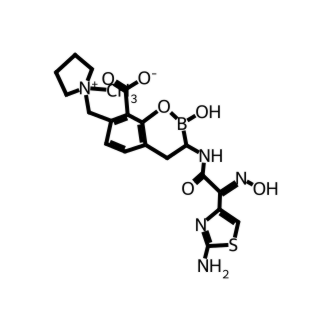 C[N+]1(Cc2ccc3c(c2C(=O)[O-])OB(O)C(NC(=O)C(=NO)c2csc(N)n2)C3)CCCC1